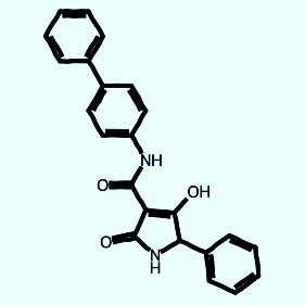 O=C(Nc1ccc(-c2ccccc2)cc1)C1=C(O)C(c2ccccc2)NC1=O